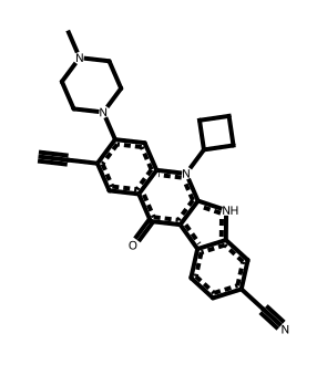 C#Cc1cc2c(=O)c3c4ccc(C#N)cc4[nH]c3n(C3CCC3)c2cc1N1CCN(C)CC1